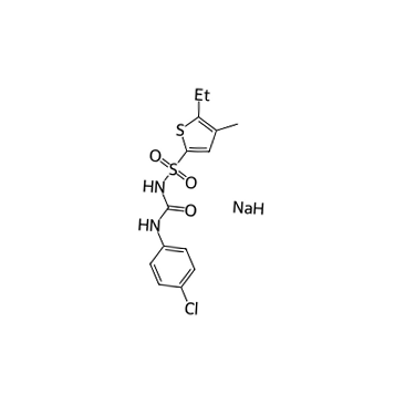 CCc1sc(S(=O)(=O)NC(=O)Nc2ccc(Cl)cc2)cc1C.[NaH]